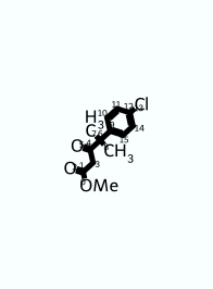 COC(=O)CC(=O)C(C)(C)c1ccc(Cl)cc1